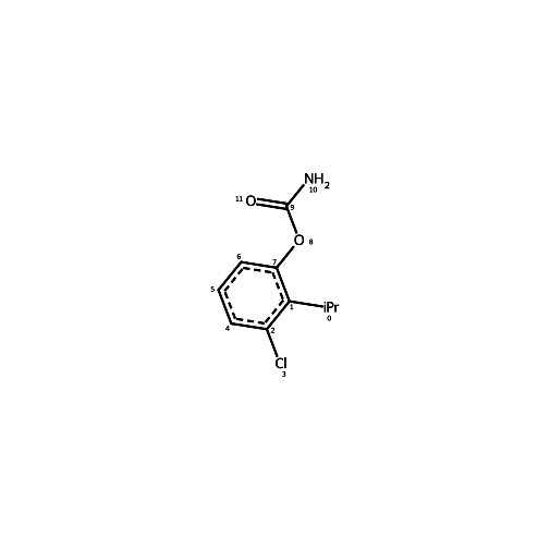 CC(C)c1c(Cl)cccc1OC(N)=O